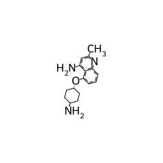 Cc1cc(N)c2c(O[C@H]3CC[C@H](N)CC3)cccc2n1